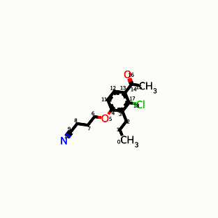 CCCc1c(OCCCC#N)ccc(C(C)=O)c1Cl